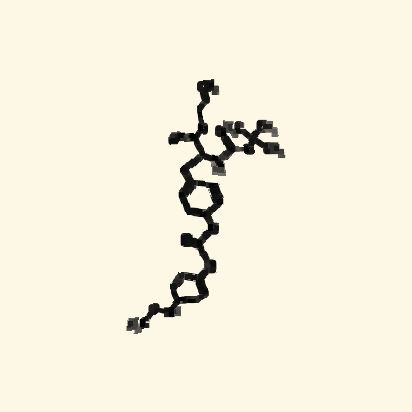 C=CCOC(=O)C(Cc1ccc(OC(=O)Oc2ccc(NOC)cc2)cc1)NC(=O)OC(C)(C)C